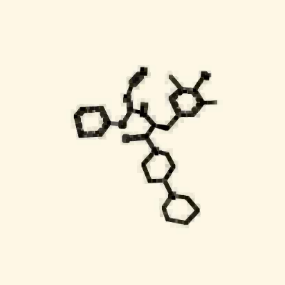 Cc1cc(C[C@H](N/C(=N\C#N)Oc2ccccc2)C(=O)N2CCC(N3CCCCC3)CC2)cc(C)c1Br